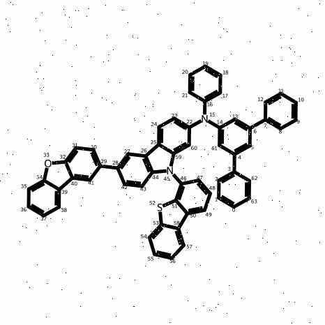 c1ccc(-c2cc(-c3ccccc3)cc(N(c3ccccc3)c3ccc4c5cc(-c6ccc7oc8ccccc8c7c6)ccc5n(-c5cccc6c5sc5ccccc56)c4c3)c2)cc1